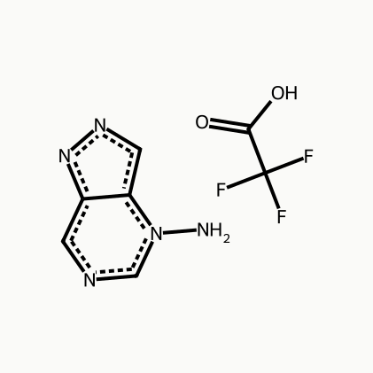 Nn1cncc2nncc1-2.O=C(O)C(F)(F)F